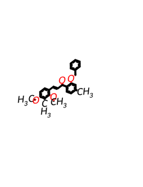 COc1ccc(/C=C/C(=O)c2ccc(C)cc2OCc2ccccc2)c(OC)c1C